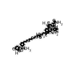 CCCC[C@H](N)C(=O)N1C[C@H]2C[C@H]2[C@H]1C(=O)N[C@@H](CCC(N)=O)[C@@H](C)OCc1ccc(CCCNC(=O)COCCOCCOCCCc2ccc3c(c2)n(C)c(=O)n3C2CCC(=O)NC2=O)cc1